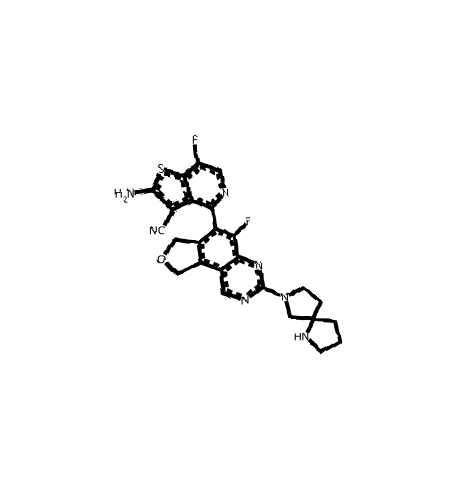 N#Cc1c(N)sc2c(F)cnc(-c3c4c(c5cnc(N6CCC7(CCCN7)C6)nc5c3F)COC4)c12